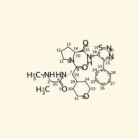 CN[C@@H](C)C(=O)N[C@H](C(=O)N1CCC[C@H]1C(=O)Nc1snnc1-c1ccccc1)C1CCOCC1